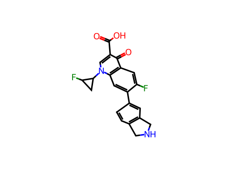 O=C(O)c1cn(C2CC2F)c2cc(-c3ccc4c(c3)CNC4)c(F)cc2c1=O